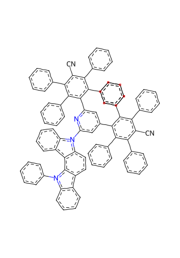 N#Cc1c(-c2ccccc2)c(-c2ccccc2)c(-c2cc(-c3c(-c4ccccc4)c(-c4ccccc4)c(C#N)c(-c4ccccc4)c3-c3ccccc3)nc(-n3c4ccccc4c4c3ccc3c5ccccc5n(-c5ccccc5)c34)c2)c(-c2ccccc2)c1-c1ccccc1